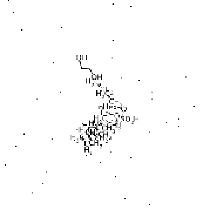 C=C.C=C.C=C.C=C.C=C.C=C.C=C.C=C.CCCCCCOS(=O)(=O)O.CCOCC.OCCO